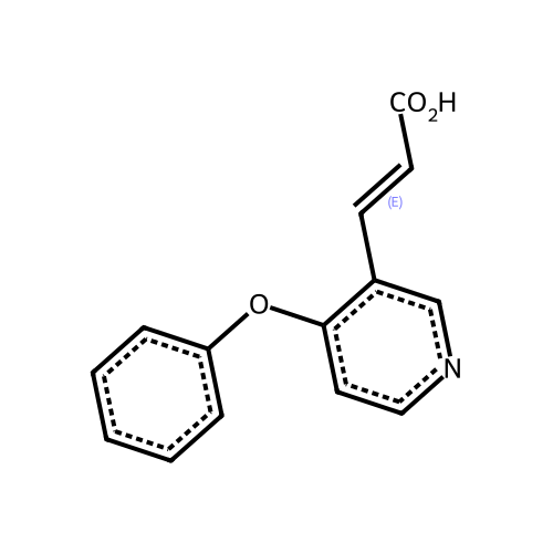 O=C(O)/C=C/c1cnccc1Oc1ccccc1